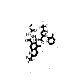 COC(=O)NNC(=O)c1cc2nc(C(F)(F)F)ccc2c(C)c1NC(=O)c1cc(C(F)(F)F)nn1-c1ncccc1C